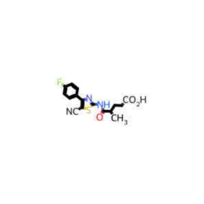 CC(CCC(=O)O)C(=O)Nc1nc(-c2ccc(F)cc2)c(C#N)s1